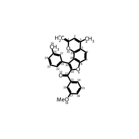 C=C1C=C(C)c2ccc3oc(C(=O)c4cccc(OC)c4)c(-c4cccc(C)c4)c3c2O1